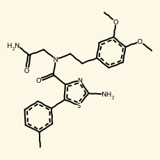 COc1ccc(CCN(CC(N)=O)C(=O)c2nc(N)sc2-c2cccc(C)c2)cc1OC